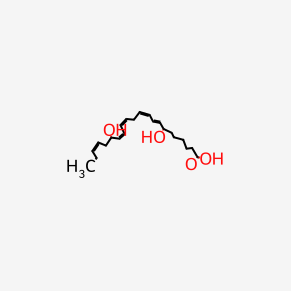 CC/C=C\C[C@H](O)/C=C\C=C/C/C=C\C=C\[C@@H](O)CCCCCC(=O)O